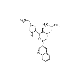 CC(C)CC(COc1cnc2ccccc2c1)NC(=O)C1CC(CN)CN1